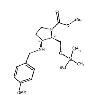 COc1ccc(CN[C@H]2CCN(C(=O)OC(C)(C)C)[C@H]2CO[Si](C)(C)C(C)(C)C)cc1